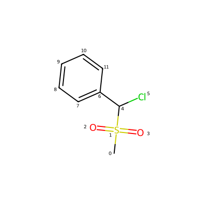 CS(=O)(=O)C(Cl)c1ccccc1